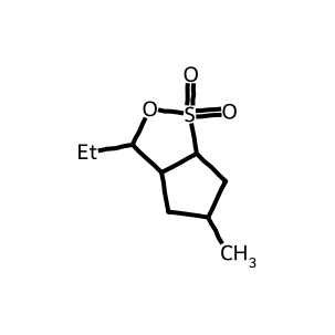 CCC1OS(=O)(=O)C2CC(C)CC12